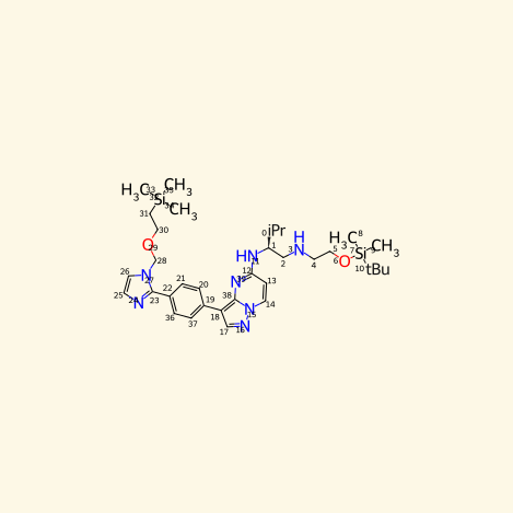 CC(C)[C@@H](CNCCO[Si](C)(C)C(C)(C)C)Nc1ccn2ncc(-c3ccc(-c4nccn4COCC[Si](C)(C)C)cc3)c2n1